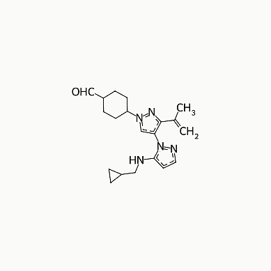 C=C(C)c1nn(C2CCC(C=O)CC2)cc1-n1nccc1NCC1CC1